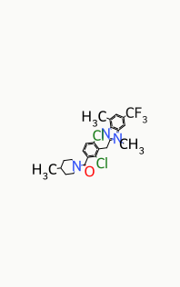 Cc1cc(C(F)(F)F)cc2c1nc(Cc1c(Cl)ccc(C(=O)N3CCC(C)CC3)c1Cl)n2C